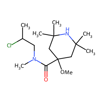 COC1(C(=O)N(C)CC(C)Cl)CC(C)(C)NC(C)(C)C1